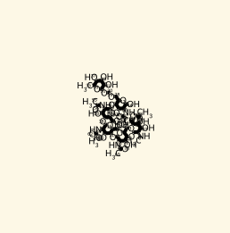 CNC1C(OC2C(CO)OC(OC3C(CO)OC(OC4C(CO)OC(OC5C(COCOC6OC(C)C(O)C(O)C6O)OC(O)C(NC(C)=O)C5O)C(NC(C)=O)C4O)C(NC(C)=O)C3O)C(NC(C)=O)C2O)OC(COC(C)=O)C(O)C1O